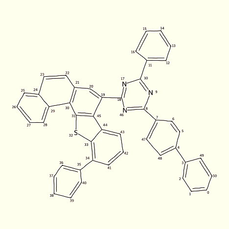 c1ccc(-c2ccc(-c3nc(-c4ccccc4)nc(-c4cc5ccc6ccccc6c5c5sc6c(-c7ccccc7)cccc6c45)n3)cc2)cc1